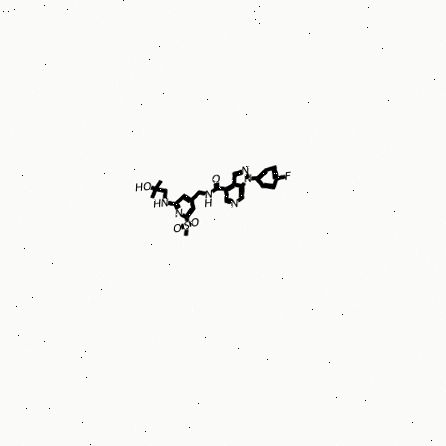 CC(C)(O)CNc1cc(CNC(=O)c2cncc3c2cnn3-c2ccc(F)cc2)cc(S(C)(=O)=O)n1